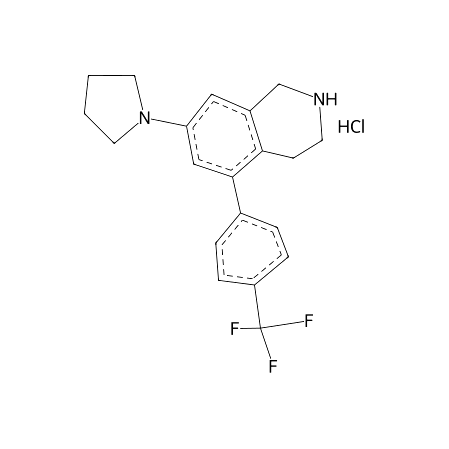 Cl.FC(F)(F)c1ccc(-c2cc(N3CCCC3)cc3c2CCNC3)cc1